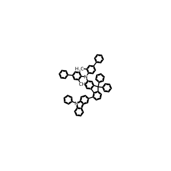 Cc1cc(-c2ccccc2)ccc1N(c1ccc2c(c1)C(c1ccccc1)(c1ccccc1)c1cccc(-c3ccc4c(c3)c3ccccc3n4-c3ccccc3)c1-2)c1ccc(-c2ccccc2)cc1C